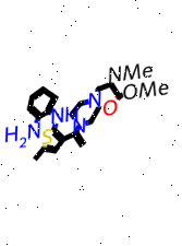 C=C(c1cc(C)sc1Nc1ccccc1N)N1CCN(CC(NC)C(=O)OC)CC1